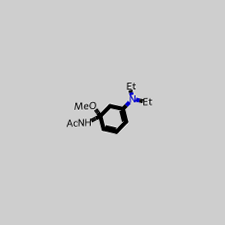 CCN(CC)C1=CC=CC(NC(C)=O)(OC)C1